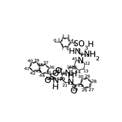 Cc1ccc(S(=O)(=O)O)cc1.N=C(N)N1CCC[C@@H](CNC(=O)[C@@H](CNC(=O)c2ccccc2)NS(=O)(=O)c2ccc3ccccc3c2)C1